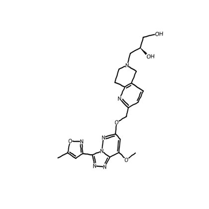 COc1cc(OCc2ccc3c(n2)CCN(C[C@H](O)CO)C3)nn2c(-c3cc(C)on3)nnc12